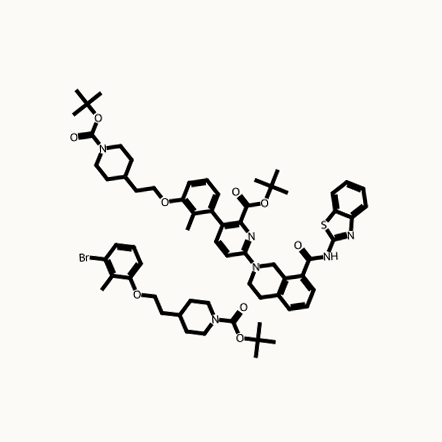 Cc1c(Br)cccc1OCCC1CCN(C(=O)OC(C)(C)C)CC1.Cc1c(OCCC2CCN(C(=O)OC(C)(C)C)CC2)cccc1-c1ccc(N2CCc3cccc(C(=O)Nc4nc5ccccc5s4)c3C2)nc1C(=O)OC(C)(C)C